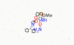 COC(=O)C1=C(C)NC(COCCN)=C(C(=O)O[C@]2(C)CCN(CCC(c3ccccc3)c3ccccc3)C2)C1c1ccccc1Cl